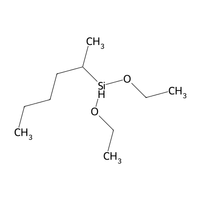 CCCCC(C)[SiH](OCC)OCC